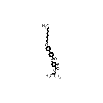 CCCCCCCCCCOc1ccc(-c2ccc(C(=O)Oc3ccc(C(=O)OCC(C)CC)c(F)c3)cc2)cc1